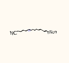 CCCCCCCCCCCCCCCC/C=C/CCCCC#N